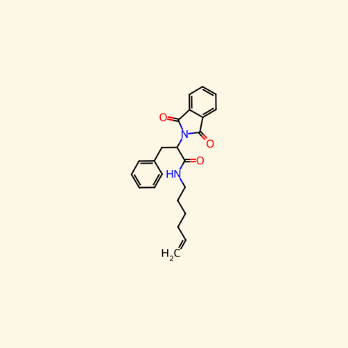 C=CCCCCNC(=O)C(Cc1ccccc1)N1C(=O)c2ccccc2C1=O